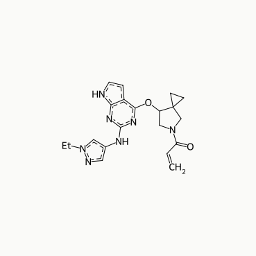 C=CC(=O)N1CC(Oc2nc(Nc3cnn(CC)c3)nc3[nH]ccc23)C2(CC2)C1